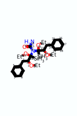 CCOC(Cc1ccccc1)C([SiH3])(OCC)N(C(N)=O)C([SiH3])(OCC)C(Cc1ccccc1)OCC